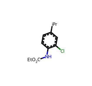 CCOC(=O)Nc1ccc(C(C)C)cc1Cl